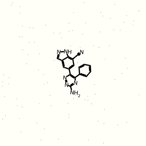 N#Cc1cc(-c2nnc(N)nc2-c2ccccc2)cc2cn[nH]c12